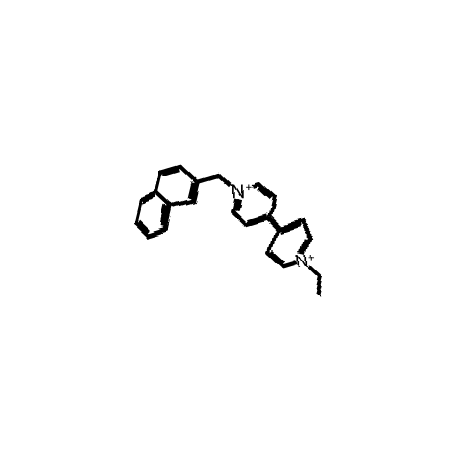 CC[n+]1ccc(-c2cc[n+](Cc3ccc4ccccc4c3)cc2)cc1